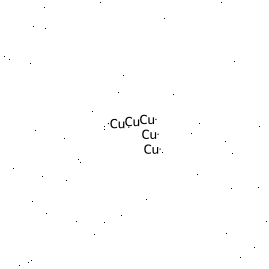 [Cu].[Cu].[Cu].[Cu].[Cu]